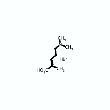 Br.CC(=CCCN(C)C)C(=O)O